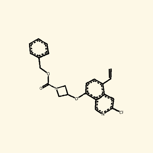 C=Cc1ccc(OC2CN(C(=O)OCc3ccccc3)C2)c2cnc(Cl)cc12